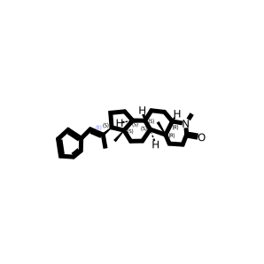 C/C(=C\c1ccccc1)[C@H]1CC[C@H]2[C@@H]3CC[C@H]4N(C)C(=O)CC[C@]4(C)[C@H]3CC[C@]12C